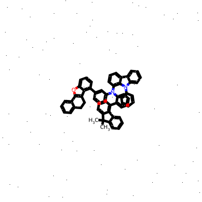 CC1(C)c2ccccc2-c2c(-c3ccccc3N(c3cccc(-c4cccc5oc6c(c45)CCc4ccccc4-6)c3)c3cccc4c5ccccc5n(-c5ccccc5)c34)cccc21